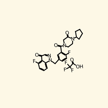 O=C(O)C(F)(F)F.O=C(c1cc(Cn2ncc(=O)c3c(F)cccc32)ccc1F)N1CCN(C2CCCC2)C(=O)C1